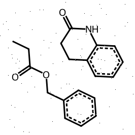 CCC(=O)OCc1ccccc1.O=C1CCc2ccccc2N1